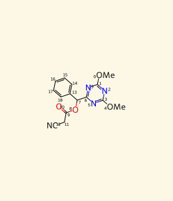 COc1nc(OC)nc(C(OC(=O)CC#N)c2ccccc2)n1